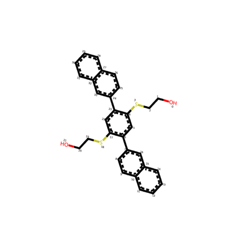 OCCSc1cc(-c2ccc3ccccc3c2)c(SCCO)cc1-c1ccc2ccccc2c1